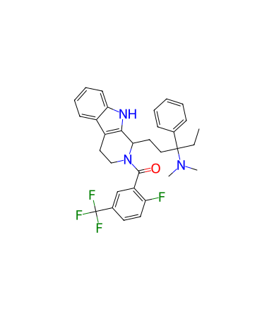 CCC(CCC1c2[nH]c3ccccc3c2CCN1C(=O)c1cc(C(F)(F)F)ccc1F)(c1ccccc1)N(C)C